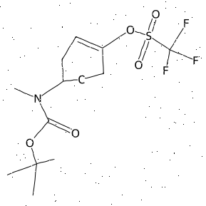 CN(C(=O)OC(C)(C)C)C1CC=C(OS(=O)(=O)C(F)(F)F)CC1